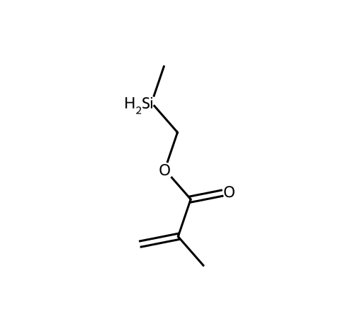 C=C(C)C(=O)OC[SiH2]C